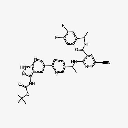 CC(NC(=O)c1nc(C#N)cnc1NC(C)c1ccc(-c2cnc3[nH]nc(NC(=O)OC(C)(C)C)c3c2)nc1)c1ccc(F)c(F)c1